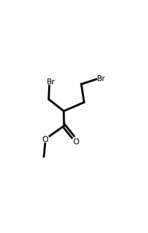 COC(=O)C(CBr)CCBr